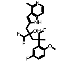 COc1ccc(F)cc1C(C)(CF)CC(O)(Cc1cc2c(C)nccc2[nH]1)C(F)F